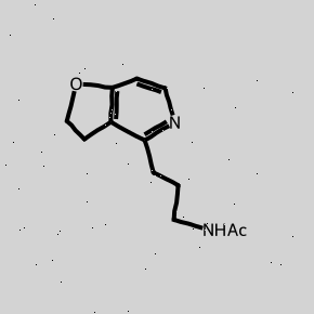 CC(=O)NCCCc1nccc2c1CCO2